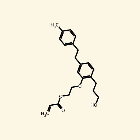 C=CC(=O)OCCOc1cc(CCc2ccc(C)cc2)ccc1CCCO